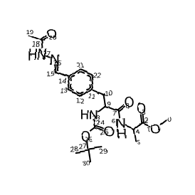 COC(=O)C(C)NC(=O)C(Cc1ccc(/C=N/NC(C)=O)cc1)NC(=O)OC(C)(C)C